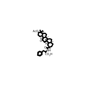 CC(=O)O[C@H]1CC[C@]2(C)[C@H]3C(=O)C=C4[C@@H]5C[C@@](C)(C(=O)NC(Cc6ccccc6)C(=O)O)CC[C@]5(C)CC[C@@]4(C)[C@]3(C)CC[C@H]2C1(C)C